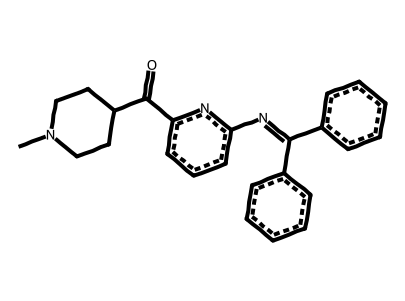 CN1CCC(C(=O)c2cccc(N=C(c3ccccc3)c3ccccc3)n2)CC1